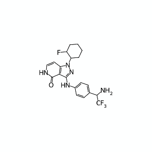 NC(c1ccc(Nc2nn(C3CCCCC3F)c3cc[nH]c(=O)c23)cc1)C(F)(F)F